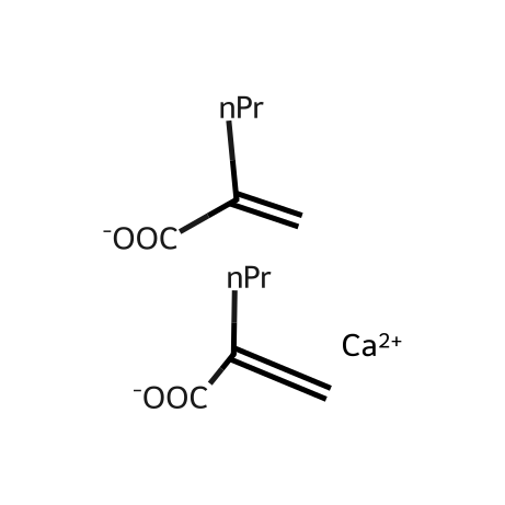 C=C(CCC)C(=O)[O-].C=C(CCC)C(=O)[O-].[Ca+2]